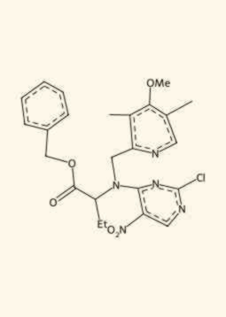 CCC(C(=O)OCc1ccccc1)N(Cc1ncc(C)c(OC)c1C)c1nc(Cl)ncc1[N+](=O)[O-]